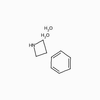 C1CNC1.O.O.c1ccccc1